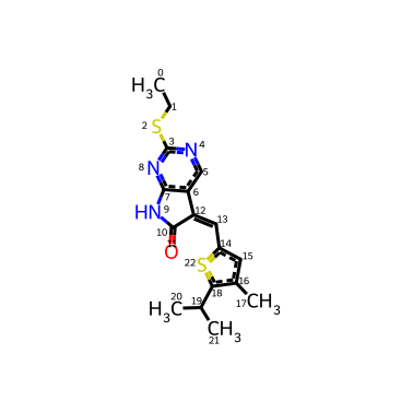 CCSc1ncc2c(n1)NC(=O)C2=Cc1cc(C)c(C(C)C)s1